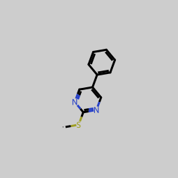 [CH2]Sc1ncc(-c2ccccc2)cn1